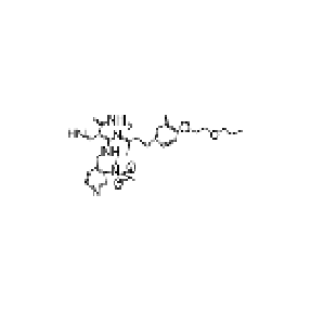 C=C(N)/C(C=N)=C(\N=C(/C)CCc1ccc(OCCOCCC)c(C)c1)NCc1ccncc1N(C)S(C)(=O)=O